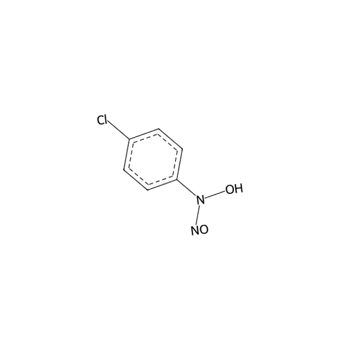 O=NN(O)c1ccc(Cl)cc1